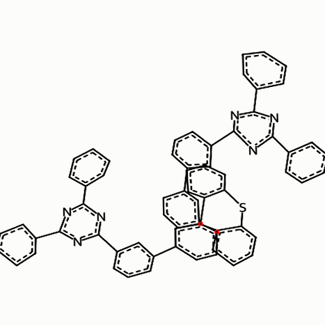 c1ccc(-c2nc(-c3ccccc3)nc(-c3cccc(-c4cccc(-c5ccccc5Sc5ccccc5-c5cccc(-c6cccc(-c7nc(-c8ccccc8)nc(-c8ccccc8)n7)c6)c5)c4)c3)n2)cc1